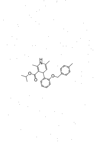 CC1=CC(c2ccccc2OCc2ccc(C)cc2)C(C(=O)OC(C)C)=C(C)N1